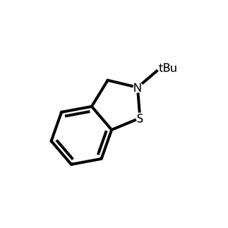 CC(C)(C)N1Cc2ccccc2S1